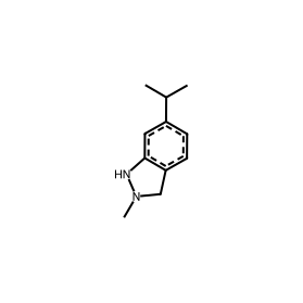 CC(C)c1ccc2c(c1)NN(C)C2